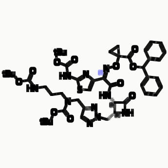 CC(C)(C)OC(=O)NCCCN(Cc1cnn(C[C@H]2NC(=O)[C@H]2NC(=O)/C(=N\OC2(C(=O)OC(c3ccccc3)c3ccccc3)CC2)c2csc(NC(=O)OC(C)(C)C)n2)n1)C(=O)OC(C)(C)C